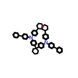 c1ccc(-c2ccc(N(c3ccc(C4CCCCC4)cc3)c3ccc(C4(c5ccc(N(c6ccc(-c7ccccc7)cc6)c6ccc(C7CCCCC7)cc6)cc5)CCCCC4)cc3)cc2)cc1